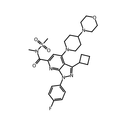 CN(C(=O)c1cc(N2CCC(N3CCOCC3)CC2)c2c(C3CCC3)nn(-c3ccc(F)cc3)c2n1)S(C)(=O)=O